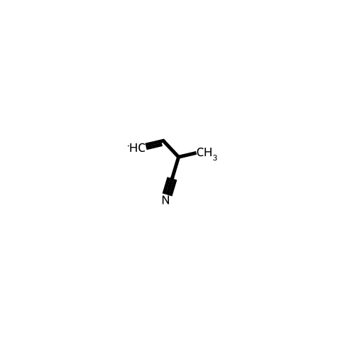 [CH]=CC(C)C#N